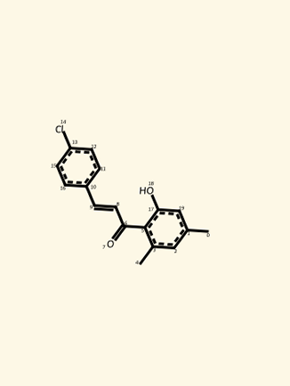 Cc1cc(C)c(C(=O)/C=C/c2ccc(Cl)cc2)c(O)c1